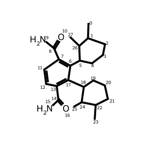 CC1CCCC(c2c(C(N)=O)ccc(C(N)=O)c2C2CCCC(C)C2C)C1C